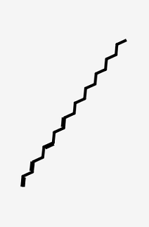 C=CC=CCC=CCC=CCCCCCCCCCCC